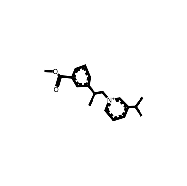 COC(=O)c1cccc(C(C)C[n+]2cccc(C(C)C)c2)c1